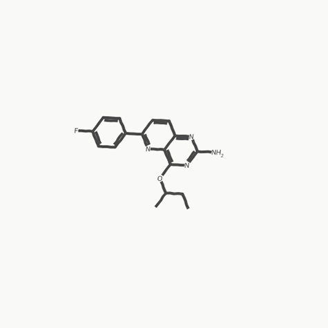 CCC(C)Oc1nc(N)nc2ccc(-c3ccc(F)cc3)nc12